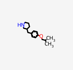 CC(C)COc1ccc(CC2CCCNC2)cc1